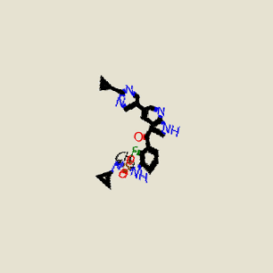 CN(C1CC1)S(=O)(=O)Nc1cccc(C(=O)c2c[nH]c3ncc(-c4cnc(C5CC5)nc4)cc23)c1F